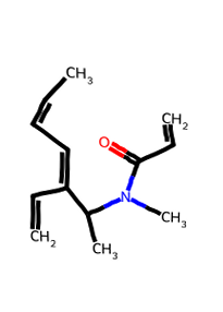 C=CC(=O)N(C)C(C)/C(C=C)=C/C=C\C